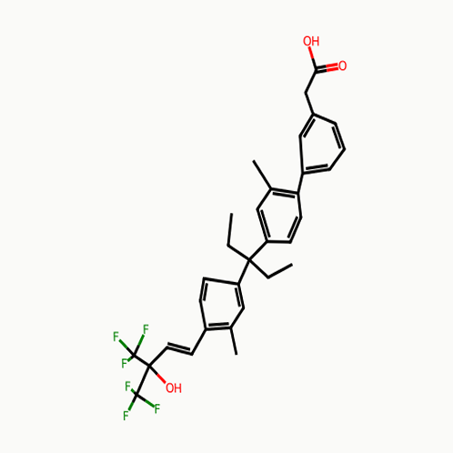 CCC(CC)(c1ccc(C=CC(O)(C(F)(F)F)C(F)(F)F)c(C)c1)c1ccc(-c2cccc(CC(=O)O)c2)c(C)c1